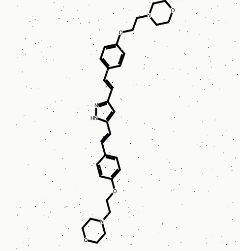 C(=C\c1cc(/C=C/c2ccc(OCCN3CCOCC3)cc2)[nH]n1)/c1ccc(OCCN2CCOCC2)cc1